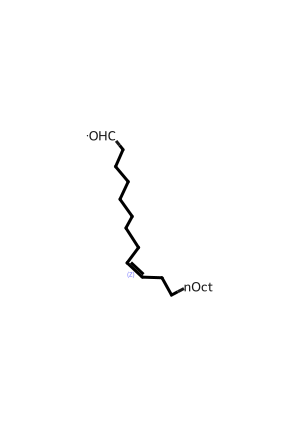 CCCCCCCCCC/C=C\CCCCCCC[C]=O